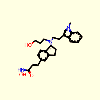 Cn1cc(CCN(CCCO)[C@H]2CCc3cc(C=CC(=O)NO)ccc32)c2ccccc21